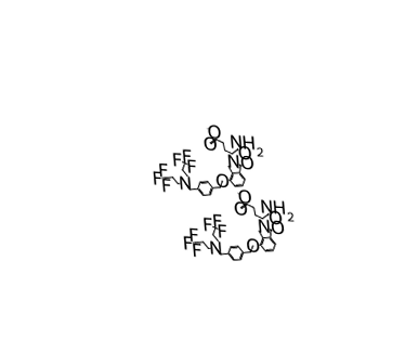 COC(=O)CCC(C(N)=O)N1Cc2c(OCc3ccc(CN(CCC(F)(F)F)CCC(F)(F)F)cc3)cccc2C1=O.COC(=O)CCC(C(N)=O)N1Cc2c(OCc3ccc(CN(CCC(F)(F)F)CCC(F)(F)F)cc3)cccc2C1=O